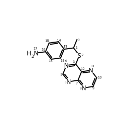 CC(Sc1ncnc2nccnc12)c1ccc(N)cc1